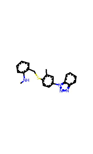 CNc1ccccc1CSc1ccc(-n2nnc3ccccc32)cc1C